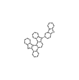 c1ccc2c(c1)nc1c3ccccc3c3ccc4c(c5ccccc5n4-c4ccc5oc6ccccc6c5c4)c3n21